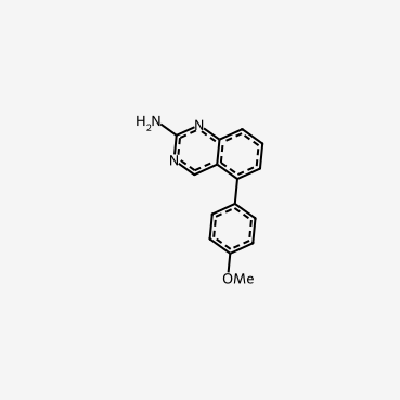 COc1ccc(-c2cccc3nc(N)ncc23)cc1